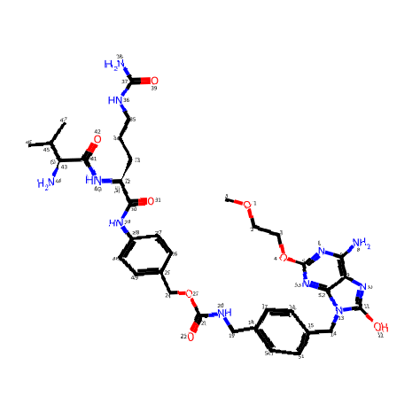 COCCOc1nc(N)c2nc(O)n(Cc3ccc(CNC(=O)OCc4ccc(NC(=O)[C@H](CCCNC(N)=O)NC(=O)[C@@H](N)C(C)C)cc4)cc3)c2n1